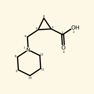 O=C(O)C1CC1CN1CCCCC1